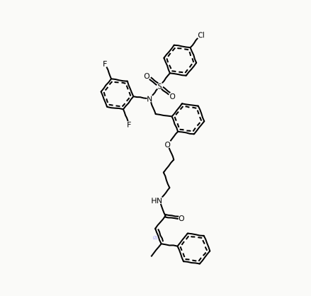 C/C(=C/C(=O)NCCCOc1ccccc1CN(c1cc(F)ccc1F)S(=O)(=O)c1ccc(Cl)cc1)c1ccccc1